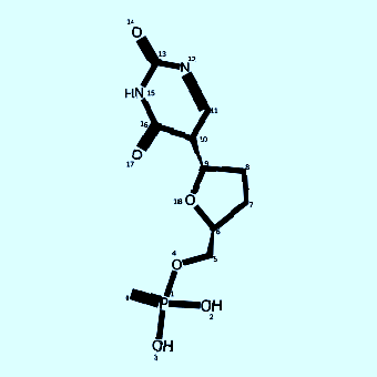 C=P(O)(O)OC[C@@H]1CC[C@H](C2C=NC(=O)NC2=O)O1